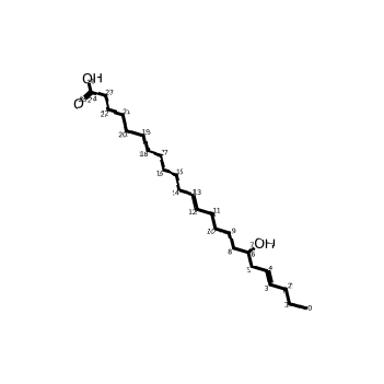 CCCC=CCC(O)CCCCCCCCCCCCCCCCC(=O)O